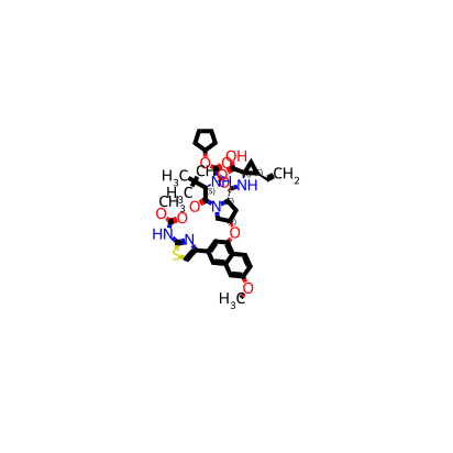 C=C[C@@H]1C[C@]1(NC(=O)[C@@H]1C[C@@H](Oc2cc(-c3csc(NC(=O)OC)n3)cc3cc(OC)ccc23)CN1C(=O)[C@@H](NC(=O)OC1CCCC1)C(C)(C)C)C(=O)O